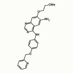 COCCOc1cc2ncnc(Nc3ccc(OCc4ccccn4)cc3)c2cc1N